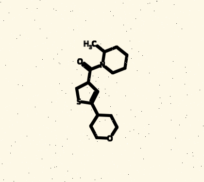 CC1CCCCN1C(=O)C1C=C(C2CCOCC2)SC1